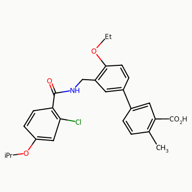 CCOc1ccc(-c2ccc(C)c(C(=O)O)c2)cc1CNC(=O)c1ccc(OC(C)C)cc1Cl